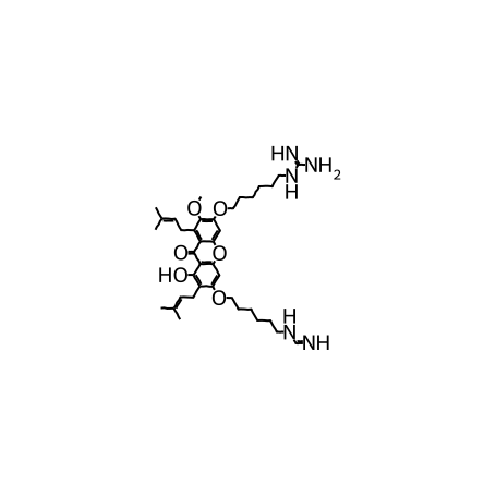 COc1c(OCCCCCCNC(=N)N)cc2oc3cc(OCCCCCCNC=N)c(CC=C(C)C)c(O)c3c(=O)c2c1CC=C(C)C